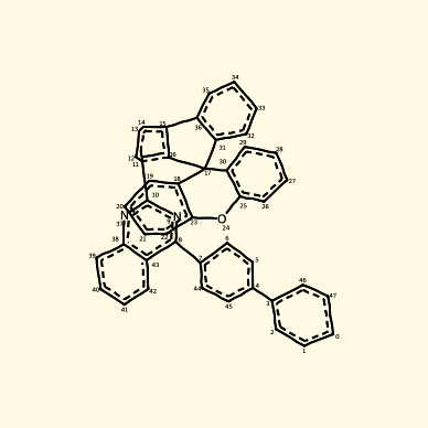 c1ccc(-c2ccc(-c3nc(-c4cccc5c4C4(c6ccccc6Oc6ccccc64)c4ccccc4-5)nc4ccccc34)cc2)cc1